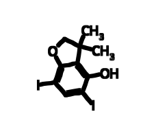 CC1(C)COc2c(I)cc(I)c(O)c21